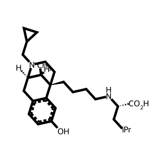 CC(C)C[C@H](NCCCC[C@@]12CCN(CC3CC3)[C@H](Cc3ccc(O)cc31)[C@@H]2C)C(=O)O